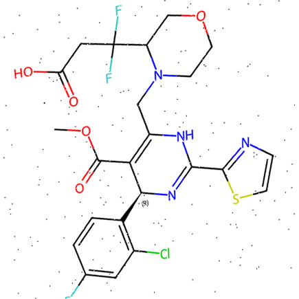 COC(=O)C1=C(CN2CCOCC2C(F)(F)CC(=O)O)NC(c2nccs2)=N[C@H]1c1ccc(F)cc1Cl